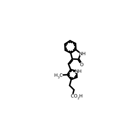 Cc1c(CCC(=O)O)c[nH]c1/C=C1\C(=O)Nc2ccccc21